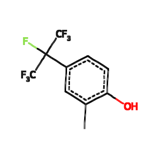 Cc1cc(C(F)(C(F)(F)F)C(F)(F)F)ccc1O